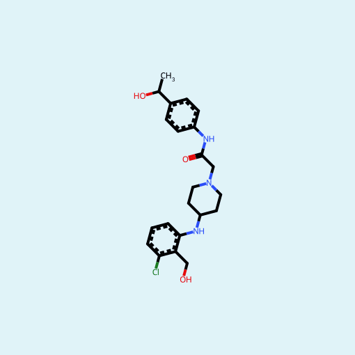 CC(O)c1ccc(NC(=O)CN2CCC(Nc3cccc(Cl)c3CO)CC2)cc1